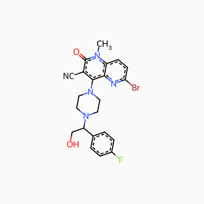 Cn1c(=O)c(C#N)c(N2CCN(C(CO)c3ccc(F)cc3)CC2)c2nc(Br)ccc21